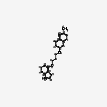 Cc1ccc2cc(OCCCOc3cccc4[nH]ccc34)ccc2n1